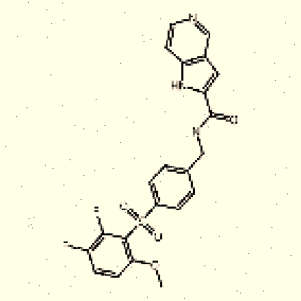 COc1ccc(F)c(F)c1S(=O)(=O)c1ccc(CNC(=O)c2cc3cnccc3[nH]2)cc1